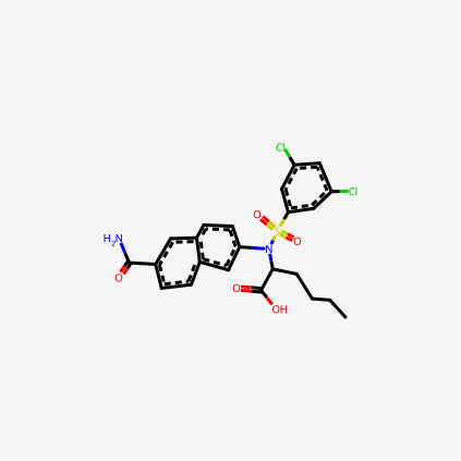 CCCCC(C(=O)O)N(c1ccc2cc(C(N)=O)ccc2c1)S(=O)(=O)c1cc(Cl)cc(Cl)c1